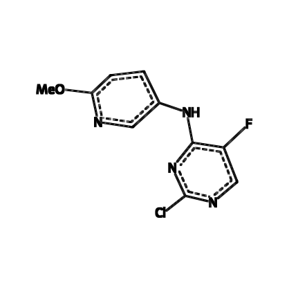 COc1ccc(Nc2nc(Cl)ncc2F)cn1